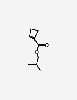 CC(C)COC(=O)C1=CCC1